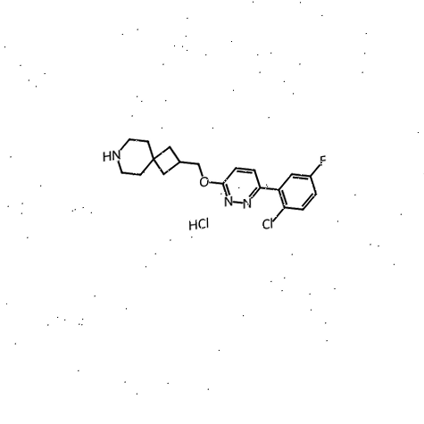 Cl.Fc1ccc(Cl)c(-c2ccc(OCC3CC4(CCNCC4)C3)nn2)c1